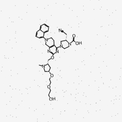 CN1C[C@H](OCCOCCO)C[C@H]1COc1nc2c(c(N3CCN(C(=O)O)[C@@H](CC#N)C3)n1)CCN(c1cccc3ccccc13)C2